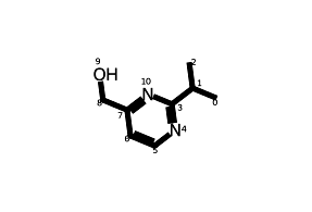 CC(C)c1nccc(CO)n1